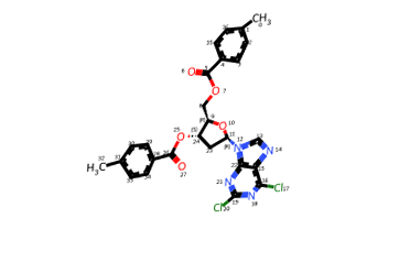 Cc1ccc(C(=O)OC[C@H]2O[C@@H](n3cnc4c(Cl)nc(Cl)nc43)C[C@@H]2OC(=O)c2ccc(C)cc2)cc1